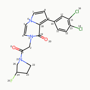 O=C(Cn1ccn2ccc(-c3ccc(Cl)c(Cl)c3)c2c1=O)N1CCC(F)C1